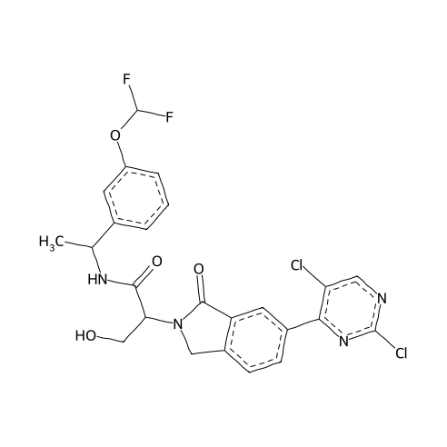 CC(NC(=O)C(CO)N1Cc2ccc(-c3nc(Cl)ncc3Cl)cc2C1=O)c1cccc(OC(F)F)c1